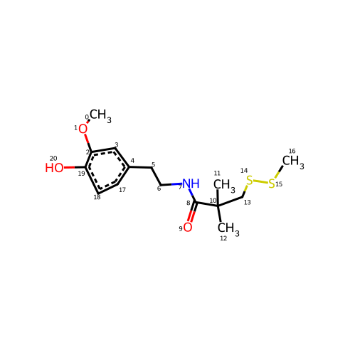 COc1cc(CCNC(=O)C(C)(C)CSSC)ccc1O